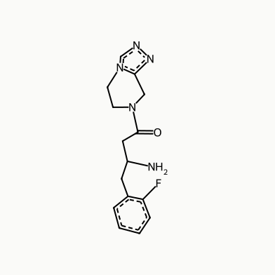 NC(CC(=O)N1CCn2cnnc2C1)Cc1ccccc1F